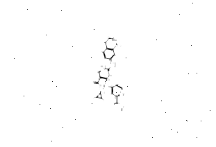 COC(O)c1cc(-n2c3nc(Nc4ccc5c(c4)CNCC5)ncc3c(=O)n2C2CC2)ccn1